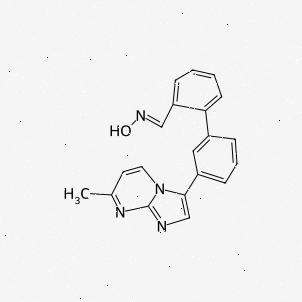 Cc1ccn2c(-c3cccc(-c4ccccc4C=NO)c3)cnc2n1